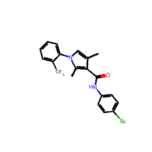 Cc1cn(-c2ccccc2C(F)(F)F)c(C)c1C(=O)Nc1ccc(Br)cc1